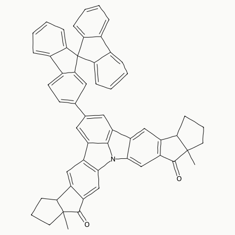 CC12CCCC1c1cc3c4cc(-c5ccc6c(c5)C5(c7ccccc7-c7ccccc75)c5ccccc5-6)cc5c6cc7c(cc6n(c3cc1C2=O)c45)C(=O)C1(C)CCCC71